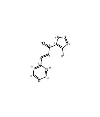 Cc1ccsc1C(=O)C=Cc1ccccn1